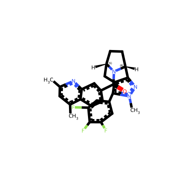 Cc1cc(C)c2ccc(C(=O)N3[C@H]4CC[C@@H]3c3nn(C)c(-c5cc(F)c(F)c(F)c5)c3C4)cc2n1